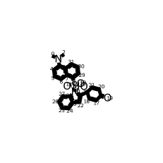 CN(C)c1cccc2c(S(=O)(=O)n3c(C4(O)C=CC(=O)C=C4)cc4ccccc43)cccc12